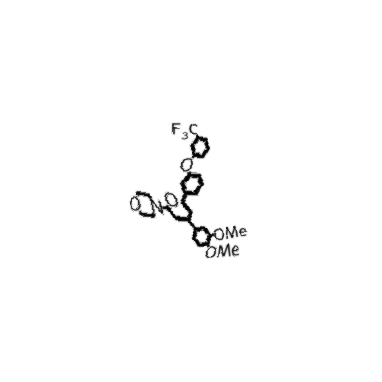 COc1ccc(C(/C=C/c2cccc(Oc3cccc(C(F)(F)F)c3)c2)=C/C(=O)N2CCOCC2)cc1OC